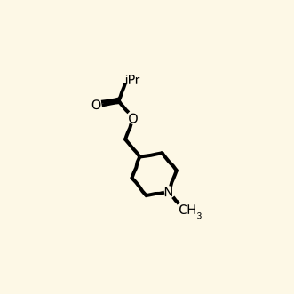 CC(C)C(=O)OCC1CCN(C)CC1